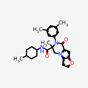 Cc1cc(C)cc(N2C(=O)c3cc4occc4n3CC2(C)C(=O)NC2CCC(C)CC2)c1